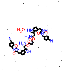 N#Cc1ccc(CN2C(=O)NC(Cc3ccc4[nH]cc(CC(N)OC(=O)/C=C\C(=O)OC(N)Cc5c[nH]c6ccc(CC7NC(=O)N(Cc8ccc(C#N)cc8)C7=O)cc56)c4c3)C2=O)cc1.O